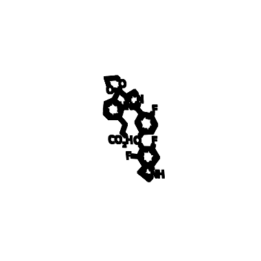 O=C(O)CCc1cccc(C2(c3cnc(-c4cc(Oc5c(F)cc6[nH]ccc6c5F)ccc4F)[nH]3)OCCO2)c1